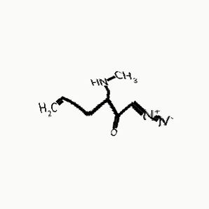 C=CCC(NC)C(=O)C=[N+]=[N-]